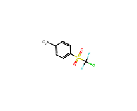 O=[N+]([O-])c1ccc(S(=O)(=O)C(F)(F)Cl)cc1